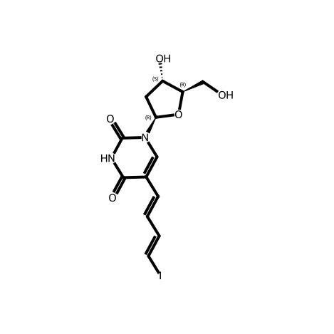 O=c1[nH]c(=O)n([C@H]2C[C@H](O)[C@@H](CO)O2)cc1C=CC=CI